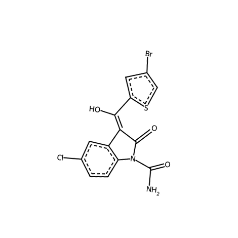 NC(=O)N1C(=O)C(=C(O)c2cc(Br)cs2)c2cc(Cl)ccc21